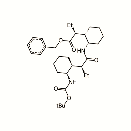 CC[C@H](C(=O)N[C@H]1CCCC[C@H]1[C@H](CC)C(=O)OCc1ccccc1)[C@@H]1CCCC[C@@H]1NC(=O)OC(C)(C)C